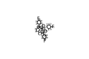 CC1=[C]([Ti]([O]C(=O)c2ccc(F)cc2)([O]C(=O)c2ccc(F)cc2)[O]C(=O)c2ccc(F)cc2)CC=C1